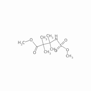 COC(=O)C(C)(C)C(C)(C)NS(=O)(=O)OC